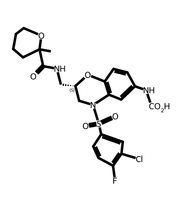 CC1(C(=O)NC[C@H]2CN(S(=O)(=O)c3ccc(F)c(Cl)c3)c3cc(NC(=O)O)ccc3O2)CCCCO1